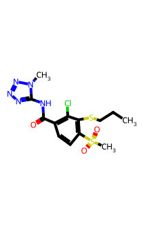 CCCSc1c(S(C)(=O)=O)ccc(C(=O)Nc2nnnn2C)c1Cl